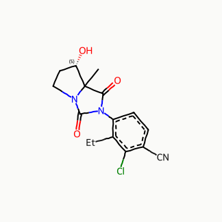 CCc1c(N2C(=O)N3CC[C@H](O)C3(C)C2=O)ccc(C#N)c1Cl